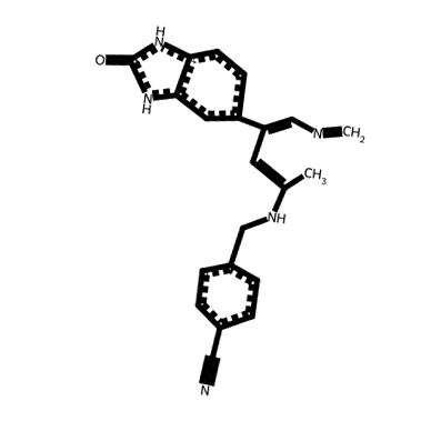 C=N/C=C(\C=C(/C)NCc1ccc(C#N)cc1)c1ccc2[nH]c(=O)[nH]c2c1